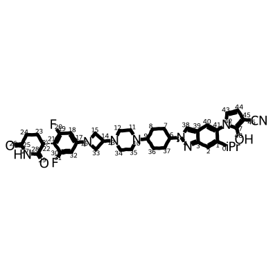 CC(C)c1cc2nn(C3CCC(N4CCN(C5CN(c6cc(F)c([C@H]7CCC(=O)NC7=O)c(F)c6)C5)CC4)CC3)cc2cc1-n1ccc(C#N)c1O